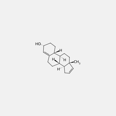 C[C@@]12C=CC[C@H]1[C@@H]1CCC3=C[C@H](O)CC[C@@H]3[C@H]1CC2